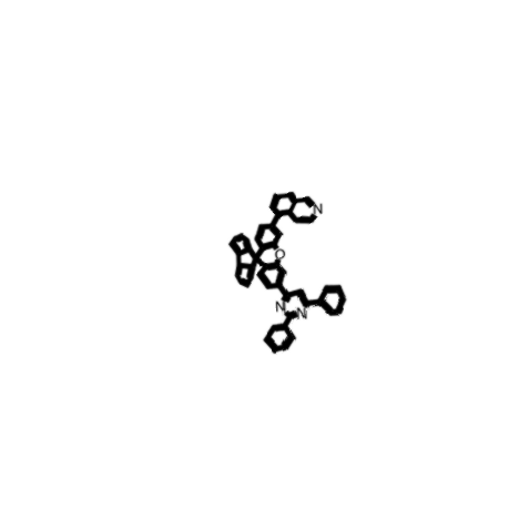 c1ccc(-c2cc(-c3ccc4c(c3)Oc3cc(-c5cccc6cnccc56)ccc3C43c4ccccc4-c4ccccc43)nc(-c3ccccc3)n2)cc1